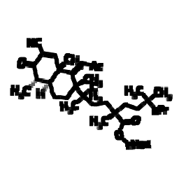 CCCCCCOC(=O)[C@@](C)(CCC(C)(C)CCC)CCC(C)(C)[C@]1(C)CC[C@H]2[C@H](C)C(=O)C(C#N)=C[C@]2(C)/C1=C/C(C)=O